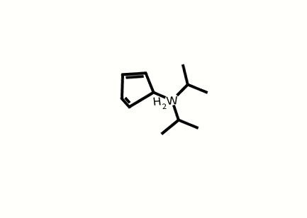 C[CH](C)[WH2]([CH](C)C)[CH]1C=CC=C1